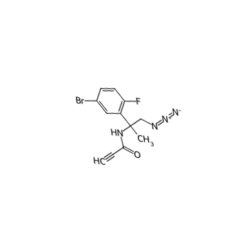 C#CC(=O)NC(C)(CN=[N+]=[N-])c1cc(Br)ccc1F